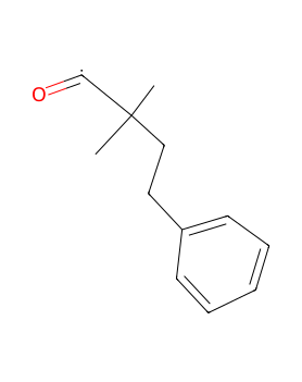 CC(C)([C]=O)CCc1ccccc1